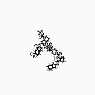 CC(C)(C)OC(=O)N1CCCC(OC(=O)NS(=O)(=O)N2CCN(C(=O)Nc3nccnc3C(=O)NC3Cc4ccccc4C3)CC2)C1CC(=O)Cn1cnc2cc(Br)c(Cl)cc2c1=O